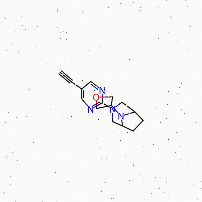 C#Cc1cnc(N2CC3CCC(C2)N3C2COC2)nc1